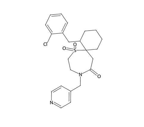 O=C1CC2(CCCCC2Cc2ccccc2Cl)S(=O)(=O)CCN1Cc1ccncc1